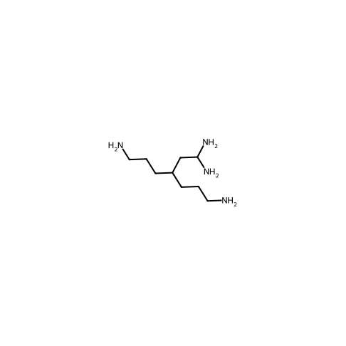 NCCCC(CCCN)CC(N)N